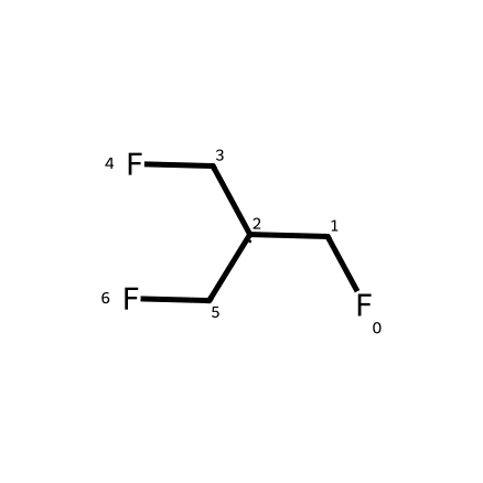 FC[C](CF)CF